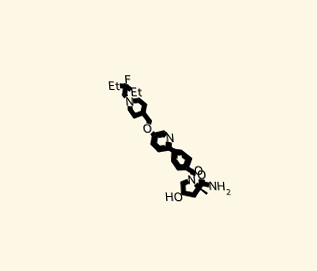 CCC(F)(CC)CN1CCC(COc2ccc(-c3ccc(C(=O)N4C[C@H](O)C[C@@]4(C)C(N)=O)cc3)nc2)CC1